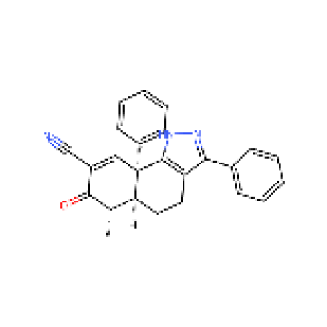 C[C@@H]1C(=O)C(C#N)=C[C@@]2(c3ccccc3)c3[nH]nc(-c4ccccc4)c3CC[C@@H]12